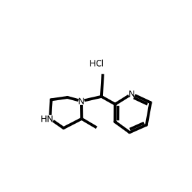 CC1CNCCN1C(C)c1ccccn1.Cl